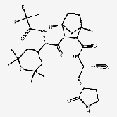 CC1(C)CC([C@H](NC(=O)C(F)(F)F)C(=O)N2[C@@H]3CC[C@@H](C3)[C@H]2C(=O)N[C@H](C#N)C[C@@H]2CCNC2=O)CC(C)(C)O1